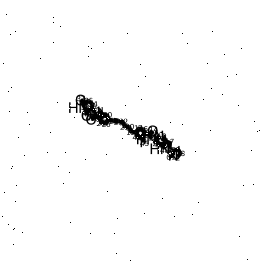 CN1CCC[C@@H]1c1cc2cnc(NC(=O)c3ccc(CCCCC#Cc4ccc5c(c4)CN(C4CCC(=O)NC4=O)C5=O)cc3F)cc2[nH]1